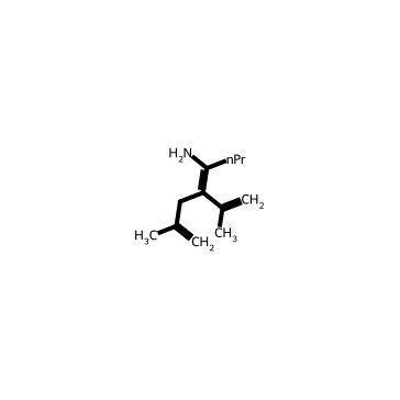 C=C(C)C/C(C(=C)C)=C(\N)CCC